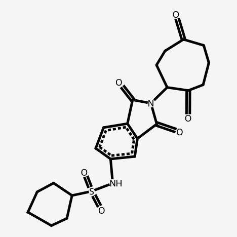 O=C1CCCC(=O)C(N2C(=O)c3ccc(NS(=O)(=O)C4CCCCC4)cc3C2=O)CC1